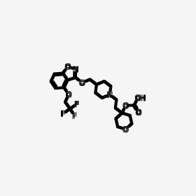 O=C(O)OC1(CCN2CCC(COc3noc4cccc(OCC(F)(F)F)c34)CC2)CCOCC1